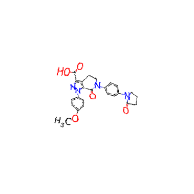 COc1ccc(-n2nc(C(=O)O)c3c2C(=O)N(c2ccc(N4CCCC4=O)cc2)CC3)cc1